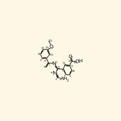 C=C(/N=C(\N=C/N)c1cccc(C(=O)O)c1)c1cccc(OC)c1